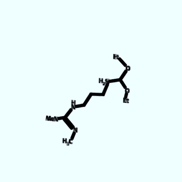 CCOC(OCC)[SiH2]CCCNC(=NC)NC